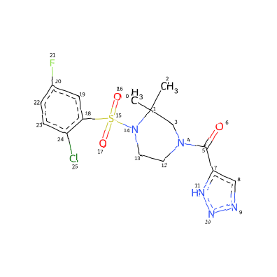 CC1(C)CN(C(=O)c2cnn[nH]2)CCN1S(=O)(=O)c1cc(F)ccc1Cl